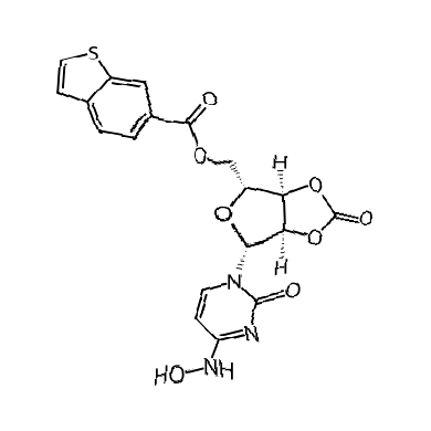 O=C1O[C@@H]2[C@H](O1)[C@@H](COC(=O)c1ccc3ccsc3c1)O[C@H]2n1ccc(NO)nc1=O